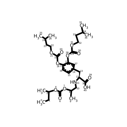 CCC(C)OC(=O)OC(C)CN[C@@H](Cc1ccc(OC(=O)OCCC(C)C)c(OC(=O)OCCC(C)C)c1)C(=O)O